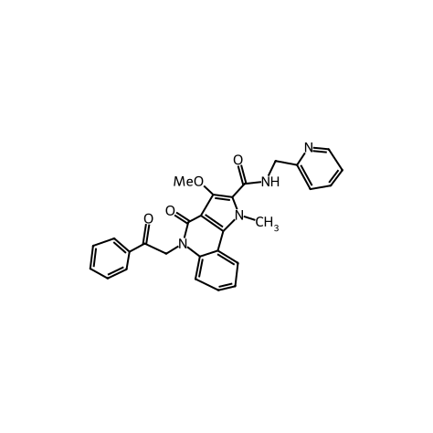 COc1c(C(=O)NCc2ccccn2)n(C)c2c1c(=O)n(CC(=O)c1ccccc1)c1ccccc21